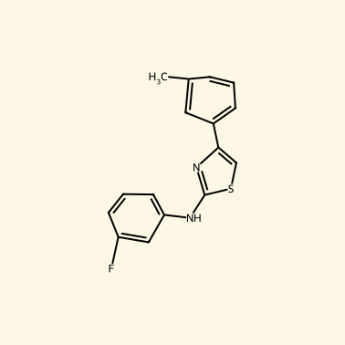 Cc1cccc(-c2csc(Nc3cccc(F)c3)n2)c1